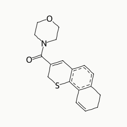 O=C(C1=Cc2ccc3c(c2SC1)C=CCC3)N1CCOCC1